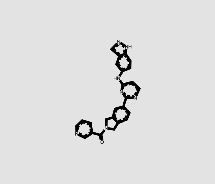 O=C(c1cccnc1)N1Cc2ccc(-c3nccc(Nc4ccc5[nH]ncc5c4)n3)cc2C1